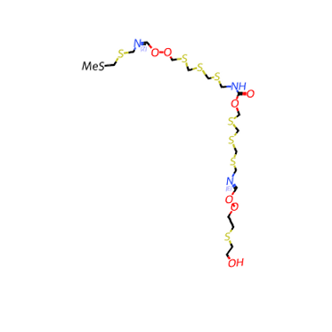 CSCSC/N=C\OOCSCSCSCNC(=O)OCSCSCSC/N=C/OOCCSCCO